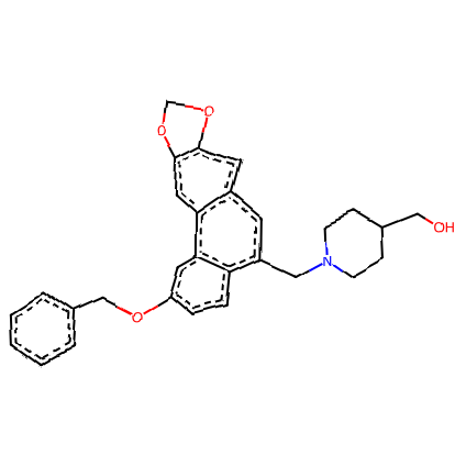 OCC1CCN(Cc2cc3cc4c(cc3c3cc(OCc5ccccc5)ccc23)OCO4)CC1